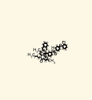 CCCCN(CCCC)C(=O)c1cc(C)n(-c2ccc(N[S+]([O-])c3ccc(Oc4ccccc4Cl)cc3)cc2C(=O)N2Cc3ccccc3C[C@H]2CO)n1